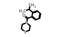 CC(C)c1ccccc1C(=O)N1CCSCC1